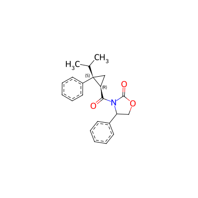 CC(C)[C@@]1(c2ccccc2)C[C@H]1C(=O)N1C(=O)OCC1c1ccccc1